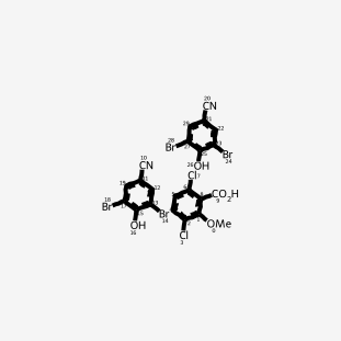 COc1c(Cl)ccc(Cl)c1C(=O)O.N#Cc1cc(Br)c(O)c(Br)c1.N#Cc1cc(Br)c(O)c(Br)c1